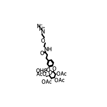 CC(=O)OC[C@H]1O[C@@H](Oc2ccc(CCC(=O)NCCOCCN=[N+]=[N-])cc2OC=O)[C@H](OC(C)=O)[C@@H](OC(C)=O)[C@H]1OC(C)=O